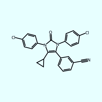 N#Cc1cccc(-c2c(C3CC3)n(-c3ccc(Cl)cc3)c(=O)n2-c2ccc(Cl)cc2)c1